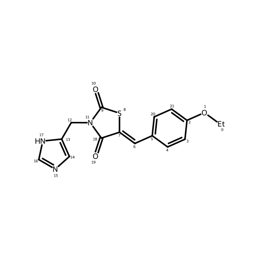 CCOc1ccc(/C=C2\SC(=O)N(Cc3cnc[nH]3)C2=O)cc1